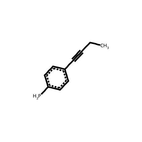 CCC#Cc1ccc(P)cc1